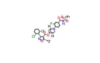 CCCS(=O)(=O)NC(=O)c1ccc(N2C[C@@H]3C[C@H]2C[C@H]3OC(=O)c2c(-c3c(Cl)cccc3Cl)noc2C2CC2)c(F)c1